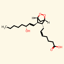 CCCCC[C@@H](O)/C=C/[C@@H]1[C@@H](C/C=C\CCCC(=O)O)[C@@H]2C[C@H]1OO2